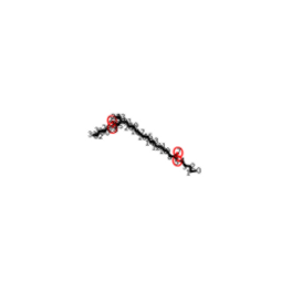 CCCCCOC(=O)CCCCCCCCCCCCCCC(CC)CC(=O)OCCCCC